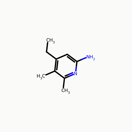 CCc1cc(N)nc(C)c1C